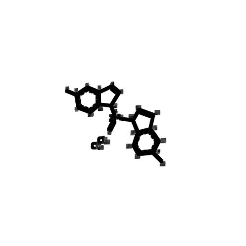 [CH2]=[Zr+2]([CH]1C=Cc2cc(C)ccc21)[CH]1C=Cc2cc(C)ccc21.[Cl-].[Cl-]